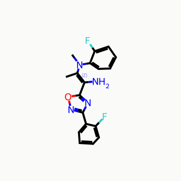 C/C(=C(/N)c1nc(-c2ccccc2F)no1)N(C)c1ccccc1F